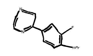 CCCc1ccc(-c2cnccn2)cc1F